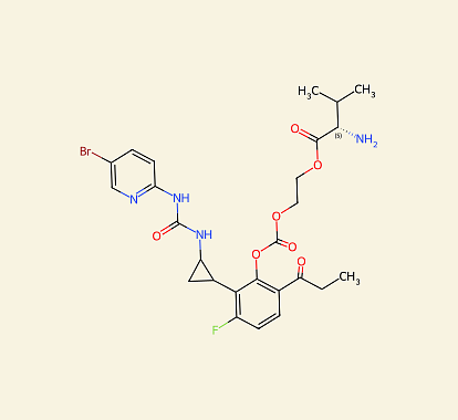 CCC(=O)c1ccc(F)c(C2CC2NC(=O)Nc2ccc(Br)cn2)c1OC(=O)OCCOC(=O)[C@@H](N)C(C)C